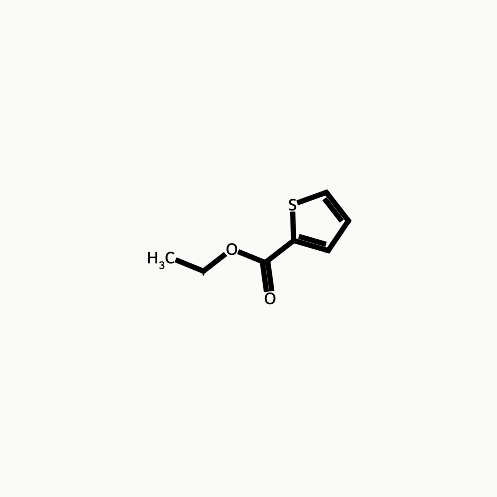 C[CH]OC(=O)c1cccs1